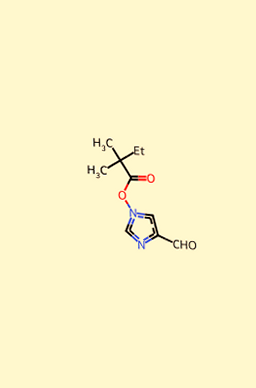 CCC(C)(C)C(=O)On1cnc(C=O)c1